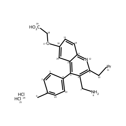 Cc1ccc(-c2c(CN)c(CC(C)C)nc3ccc(OCC(=O)O)cc23)cc1.Cl.Cl